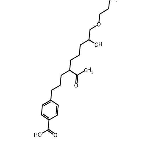 CCCOCC(O)CCCC(CCCc1ccc(C(=O)O)cc1)C(C)=O